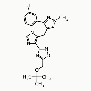 Cn1cc2c(n1)-c1cc(Cl)ccc1-n1cnc(-c3noc(COC(C)(C)C)n3)c1C2